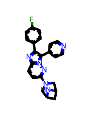 Fc1ccc(-c2nc3ccc(N4CC5CC(C4)N5)nn3c2-c2ccncc2)cc1